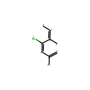 C=C(C)/C=C(Br)\C(C)=C/C